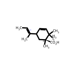 C/C=C(\C)C1C=CC(C)(C)[C@@](C)(C(=O)O)C1